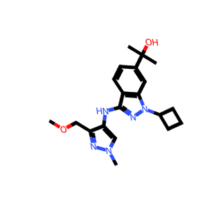 COCc1nn(C)cc1Nc1nn(C2CCC2)c2cc(C(C)(C)O)ccc12